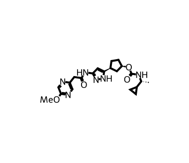 COc1cnc(CC(=O)Nc2cc([C@H]3CC[C@@H](OC(=O)N[C@H](C)C4CC4)C3)[nH]n2)cn1